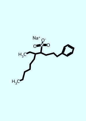 CCCCCCC(CC)C(CCCc1ccccc1)S(=O)(=O)[O-].[Na+]